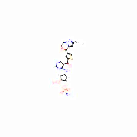 Cc1cc2n(n1)CCO[C@@H]2c1csc(C(=O)c2cncnc2N[C@@H]2C[C@H](COS(N)(=O)=O)[C@@H](O)C2)c1